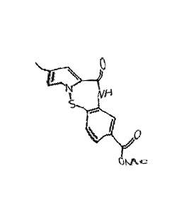 COC(=O)c1ccc2c(c1)NC(=O)c1cc(C)cn1S2